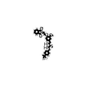 COc1cc(CNC(=S)NCc2ccc(C(C)(C)C)cc2)ccc1OCCN1C(=O)c2ccccc2C1=O